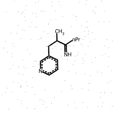 CCCC(=N)C(C)[CH]c1cccnc1